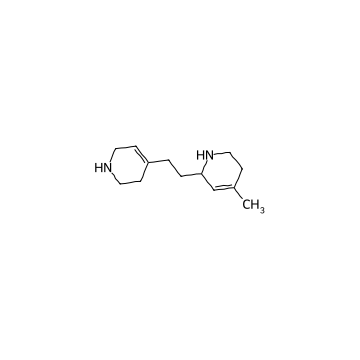 CC1=CC(CCC2=CCNCC2)NCC1